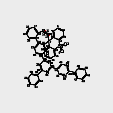 O=S1(=O)c2ccccc2C2(c3ccccc3-c3ccccc3-c3ccc(-c4cc(-c5ccccc5)nc(-c5cnc(-c6ccccc6)nc5)n4)cc32)c2ccccc21